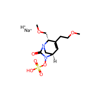 COCCC1=C[C@@H]2CN(C(=O)N2OS(=O)(=O)O)[C@@H]1COC.[H+].[Na+]